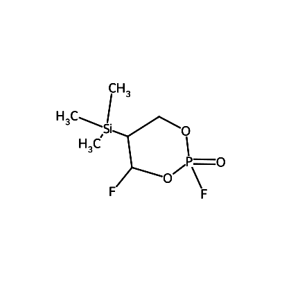 C[Si](C)(C)C1COP(=O)(F)OC1F